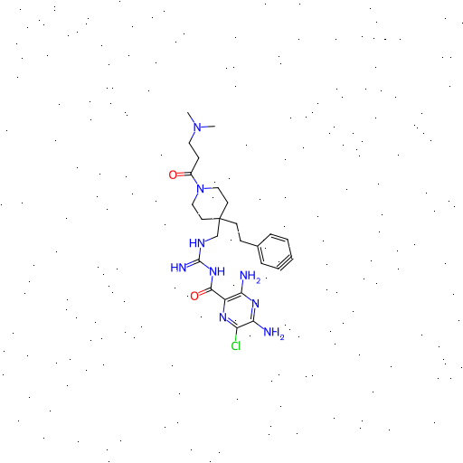 CN(C)CCC(=O)N1CCC(CCc2cc#ccc2)(CNC(=N)NC(=O)c2nc(Cl)c(N)nc2N)CC1